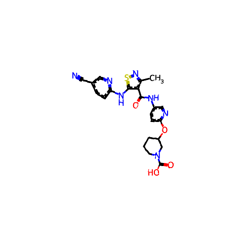 Cc1nsc(Nc2ccc(C#N)cn2)c1C(=O)Nc1ccc(OC2CCCN(C(=O)O)C2)nc1